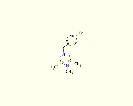 C[C@@H]1CN(Cc2ccc(Br)cc2)C[C@H](C)N1C